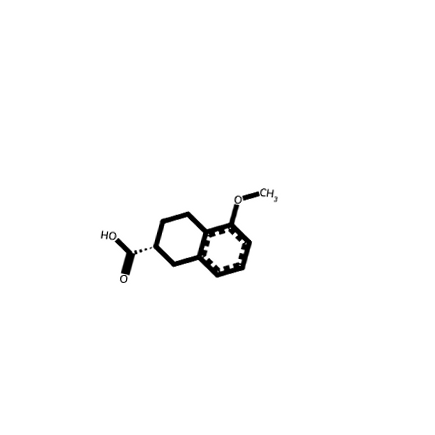 COc1cccc2c1CC[C@@H](C(=O)O)C2